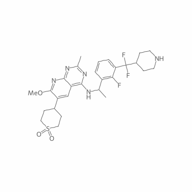 COc1nc2nc(C)nc(NC(C)c3cccc(C(F)(F)C4CCNCC4)c3F)c2cc1C1CCS(=O)(=O)CC1